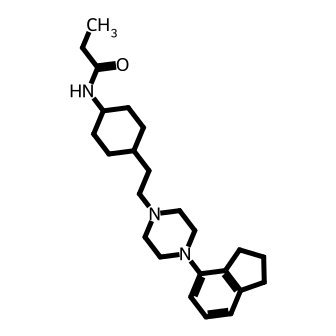 CCC(=O)NC1CCC(CCN2CCN(c3cccc4c3CCC4)CC2)CC1